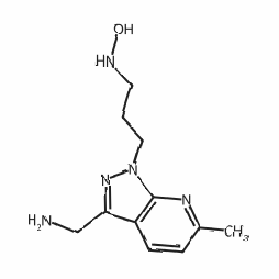 Cc1ccc2c(CN)nn(CCCNO)c2n1